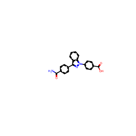 NC(=O)c1ccc(-c2nn(-c3ccc(C(=O)O)cc3)c3ccccc23)cc1